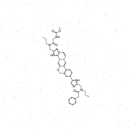 CCCN(Cc1ncc(-c2ccc3c(c2)COC2=CC4c5[nH]c(CN(CCC)C(=O)CNC(=O)OC)nc5C=CC4C=C23)[nH]1)C(=O)Cc1ccccc1